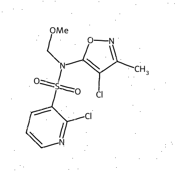 COCN(c1onc(C)c1Cl)S(=O)(=O)c1cccnc1Cl